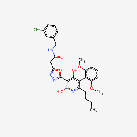 CCCCc1nc(O)c(-c2nnc(CC(=O)NCc3cccc(Cl)c3)o2)c(O)c1-c1c(OC)cccc1OC